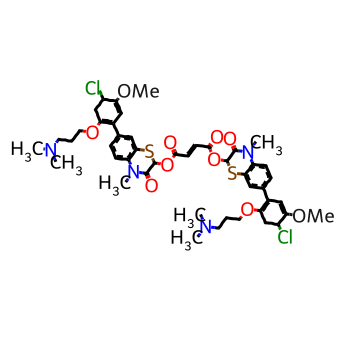 COC1=CC(c2ccc3c(c2)SC(OC(=O)/C=C/C(=O)OC2Sc4cc(C5=C(OCCCN(C)C)CC(Cl)C(OC)=C5)ccc4N(C)C2=O)C(=O)N3C)=C(OCCCN(C)C)CC1Cl